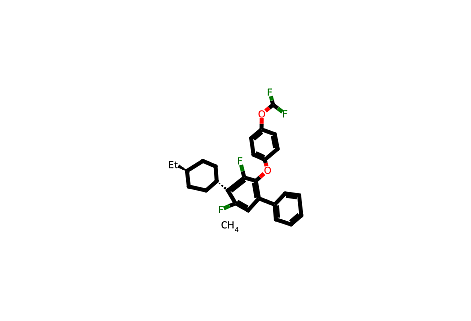 C.CC[C@H]1CC[C@H](c2c(F)cc(-c3ccccc3)c(Oc3ccc(OC(F)F)cc3)c2F)CC1